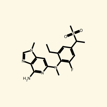 CCc1cc(C(C)S(C)(=O)=O)cc(F)c1N(C)c1cc2c(ncn2C)c(N)n1